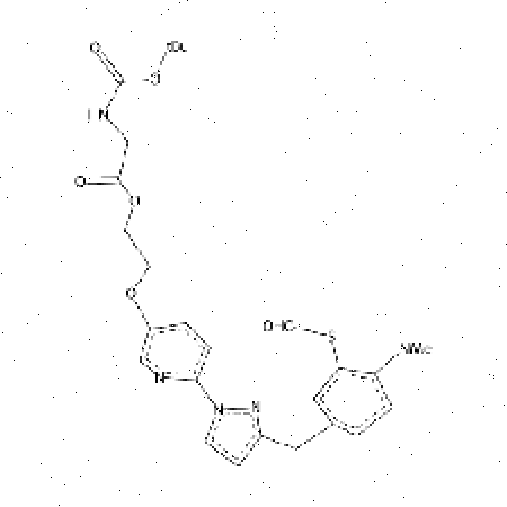 CNc1ccc(Cc2ccn(-c3ccc(OCCOC(=O)CNC(=O)OC(C)(C)C)cn3)n2)cc1SC=O